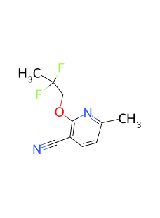 Cc1ccc(C#N)c(OCC(C)(F)F)n1